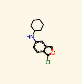 Clc1occ2cc(NC3CCCCC3)ccc12